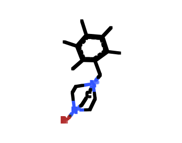 Cc1c(C)c(C)c(C[N+]23CC[N+](Br)(CC2)CC3)c(C)c1C